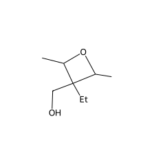 CCC1(CO)C(C)OC1C